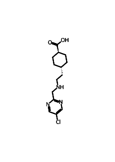 O=C(O)[C@H]1CC[C@H](CCNCc2ncc(Cl)cn2)CC1